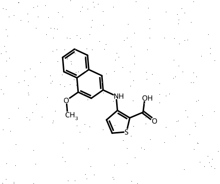 COc1cc(Nc2ccsc2C(=O)O)cc2ccccc12